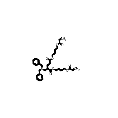 C=CC(=O)OC/C=C/COC(=O)CCC(CN(Cc1ccccc1)Cc1ccccc1)C(=O)OC/C=C/COC(=O)C=C